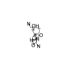 CC1(C)CCC2C(=O)C[C@@H]3[C@@]4(C)C=C(C#N)C(=O)C(C)(C)[C@@H]4CC[C@@]3(C)[C@]2(C)CC[C@@](C)(C(O)CC#N)CC1